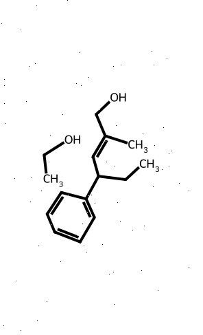 CCC(/C=C(\C)CO)c1ccccc1.CCO